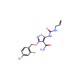 C=CCNC(=O)Nc1snc(OCc2ccc(Br)cc2F)c1C(N)=O